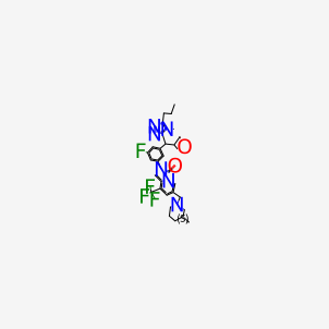 CCCc1nnc(C(c2cc(F)cc(-n3cc4c(C(F)(F)F)cc(CN5CCC[C@H](C)C5)cn4c3=O)c2)C2COC2)n1C